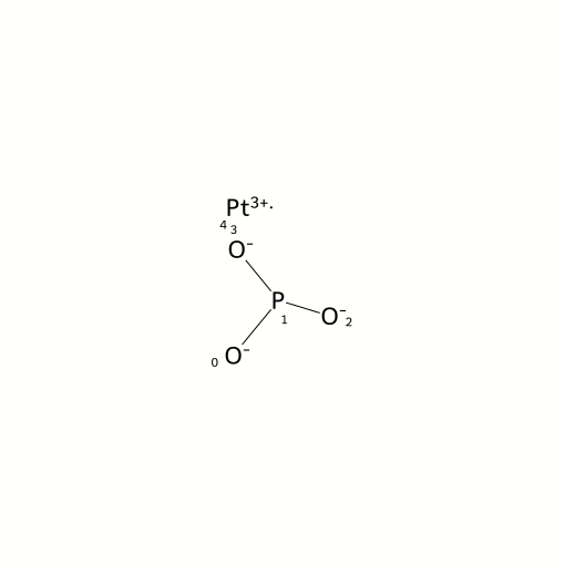 [O-]P([O-])[O-].[Pt+3]